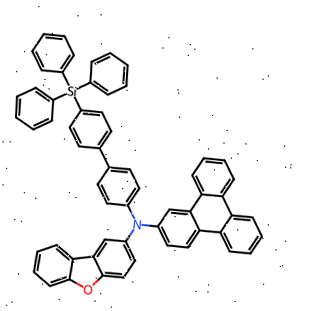 c1ccc([Si](c2ccccc2)(c2ccccc2)c2ccc(-c3ccc(N(c4ccc5oc6ccccc6c5c4)c4ccc5c6ccccc6c6ccccc6c5c4)cc3)cc2)cc1